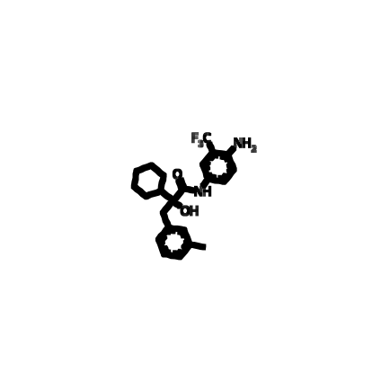 Cc1cccc(CC(O)(C(=O)Nc2ccc(N)c(C(F)(F)F)c2)C2CCCCC2)c1